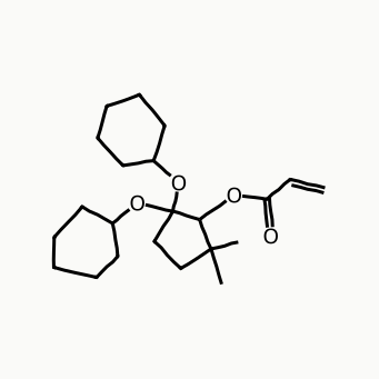 C=CC(=O)OC1C(C)(C)CCC1(OC1CCCCC1)OC1CCCCC1